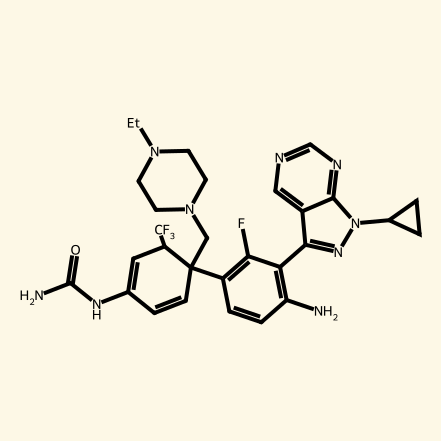 CCN1CCN(CC2(c3ccc(N)c(-c4nn(C5CC5)c5ncncc45)c3F)C=CC(NC(N)=O)=CC2C(F)(F)F)CC1